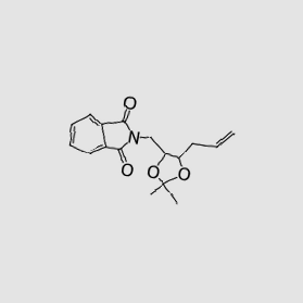 C=CCC1OC(C)(C)OC1CN1C(=O)c2ccccc2C1=O